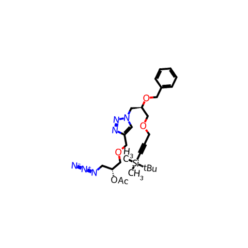 CC(=O)O[C@H](CN=[N+]=[N-])COCc1cn(C[C@H](COCC#C[Si](C)(C)C(C)(C)C)OCc2ccccc2)nn1